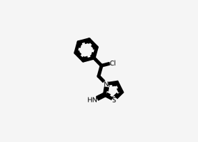 N=c1sccn1CC(Cl)c1ccccc1